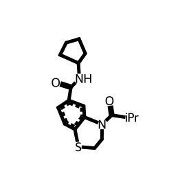 CC(C)C(=O)N1CCSc2ccc(C(=O)NC3CCCC3)cc21